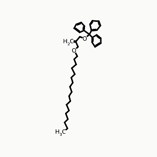 C=C(COCCCCCCCCCCCCCCCCCC)COC(c1ccccc1)(c1ccccc1)c1ccccc1